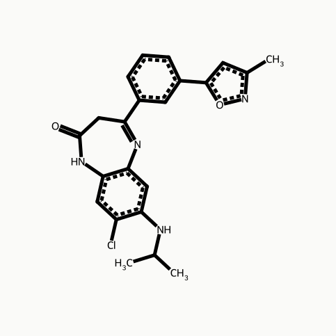 Cc1cc(-c2cccc(C3=Nc4cc(NC(C)C)c(Cl)cc4NC(=O)C3)c2)on1